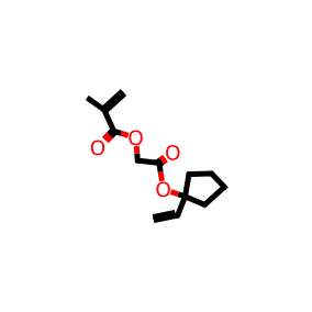 C=CC1(OC(=O)COC(=O)C(=C)C)CCCC1